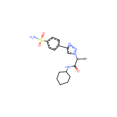 CC(C)C(C(=O)NC1CCCCC1)n1cc(-c2ccc(S(N)(=O)=O)cc2)nn1